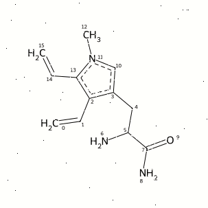 C=Cc1c(CC(N)C(N)=O)cn(C)c1C=C